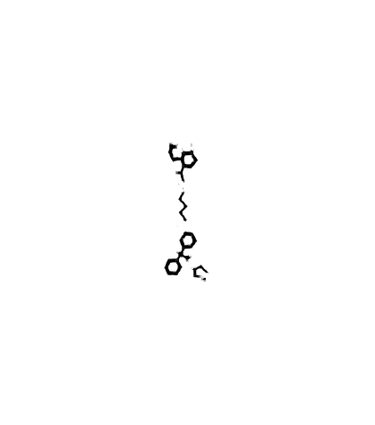 CN1CCC(OC(=O)C(O)(c2ccccc2)c2cccc(OCCCCCNCC(O)c3ccc(O)c4[nH]c(=O)ccc34)c2)C1